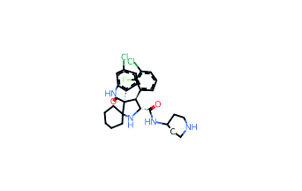 O=C(NC1CCNCC1)[C@@H]1NC2(CCCCC2)[C@@]2(C(=O)Nc3cc(Cl)ccc32)[C@H]1c1cccc(Cl)c1F